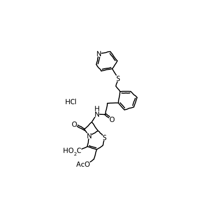 CC(=O)OCC1=C(C(=O)O)N2C(=O)C(NC(=O)Cc3ccccc3CSc3ccncc3)C2SC1.Cl